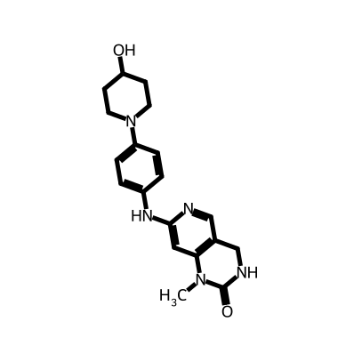 CN1C(=O)NCc2cnc(Nc3ccc(N4CCC(O)CC4)cc3)cc21